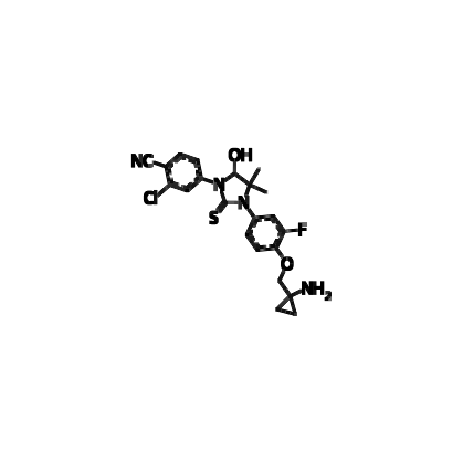 CC1(C)C(O)N(c2ccc(C#N)c(Cl)c2)C(=S)N1c1ccc(OCC2(N)CC2)c(F)c1